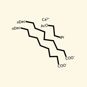 CC(=O)OCCC(C)C.CCCCCCCCCCCCCCCCCC(=O)[O-].CCCCCCCCCCCCCCCCCC(=O)[O-].[Ca+2]